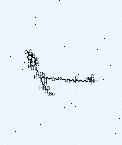 C[C@@H]1NC(=O)N[C@@H]1CCCCCC(=O)NCCCOCCOCCOCCCNC(=O)C(CCCCNC(=O)OC(C)(C)C)NC(=O)OCCC[C@]12O[C@H]1[C@@H]1O[C@@]13[C@@]1(C)CCC4=C(COC4=O)[C@@H]1C[C@@H]1O[C@@]13C2=O